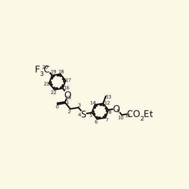 C=C(CCSc1ccc(OCC(=O)OCC)c(C)c1)Oc1ccc(C(F)(F)F)cc1